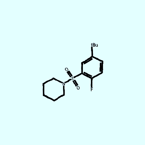 CC(C)(C)c1ccc(F)c(S(=O)(=O)N2CCCCC2)c1